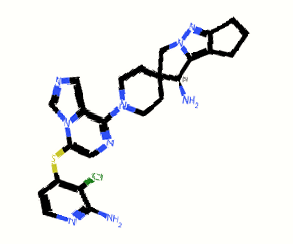 Nc1nccc(Sc2cnc(N3CCC4(CC3)Cn3nc5c(c3[C@H]4N)CCC5)c3cncn23)c1Cl